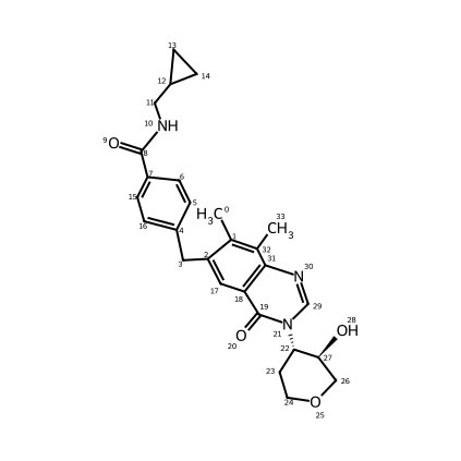 Cc1c(Cc2ccc(C(=O)NCC3CC3)cc2)cc2c(=O)n([C@H]3CCOC[C@@H]3O)cnc2c1C